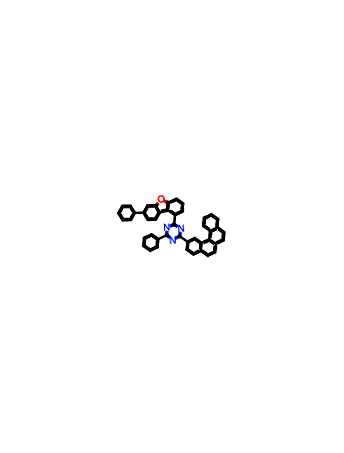 c1ccc(-c2ccc3c(c2)oc2cccc(-c4nc(-c5ccccc5)nc(-c5ccc6ccc7ccc8ccccc8c7c6c5)n4)c23)cc1